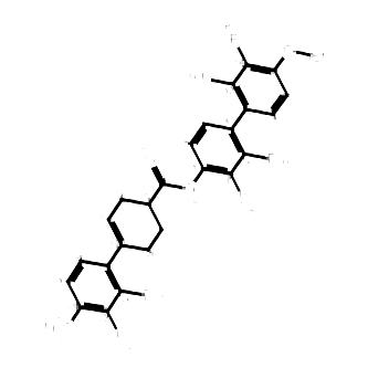 CCOc1ccc(-c2ccc(OC(=O)C3CC=C(c4ccc(C)c(F)c4F)CC3)c(F)c2F)c(F)c1F